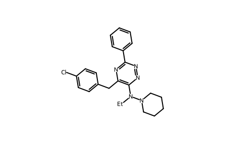 CCN(c1nnc(-c2ccccc2)nc1Cc1ccc(Cl)cc1)N1CCCCC1